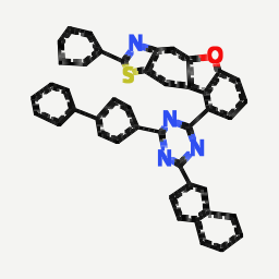 c1ccc(-c2ccc(-c3nc(-c4ccc5ccccc5c4)nc(-c4cccc5oc6cc7nc(-c8ccccc8)sc7cc6c45)n3)cc2)cc1